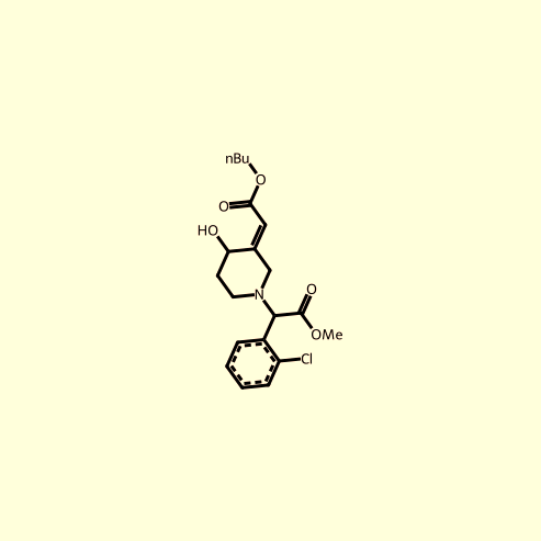 CCCCOC(=O)/C=C1/CN(C(C(=O)OC)c2ccccc2Cl)CCC1O